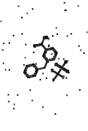 CC(=O)c1ccc[n+](Cc2ccccc2)c1.O=S(=O)([O-])C(F)(F)F